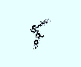 CS(=O)(=O)CC(=O)NCCn1ccc2ncnc(Nc3cnc(Oc4cccc(OC(F)(F)F)c4)c(CI)c3)c21